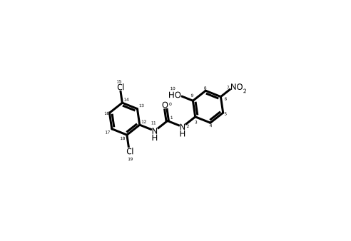 O=C(Nc1ccc([N+](=O)[O-])cc1O)Nc1cc(Cl)ccc1Cl